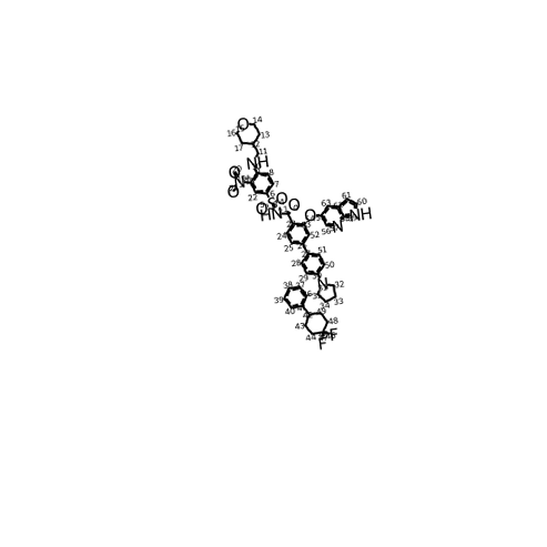 O=C(NS(=O)(=O)c1ccc(NCC2CCOCC2)c([N+](=O)[O-])c1)c1ccc(-c2ccc(N3CCC[C@@H]3c3ccccc3C3CCC(F)(F)CC3)cc2)cc1Oc1cnc2[nH]ccc2c1